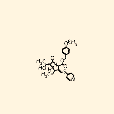 CCC1C(=CSc2ccncc2)C(C(=O)OCc2ccc(OC)cc2)N2C(=O)[C@H](C(C)O)[C@H]12